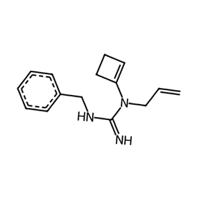 C=CCN(C(=N)NCc1ccccc1)C1=CCC1